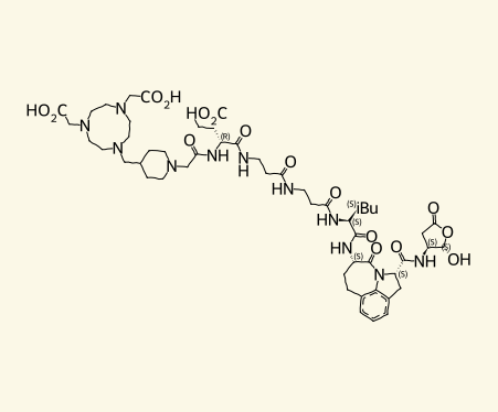 CC[C@H](C)[C@H](NC(=O)CCNC(=O)CCNC(=O)[C@@H](CCC(=O)O)NC(=O)CN1CCC(CN2CCN(CC(=O)O)CCN(CC(=O)O)CC2)CC1)C(=O)N[C@H]1CCc2cccc3c2N(C1=O)[C@H](C(=O)N[C@H]1CC(=O)O[C@@H]1O)C3